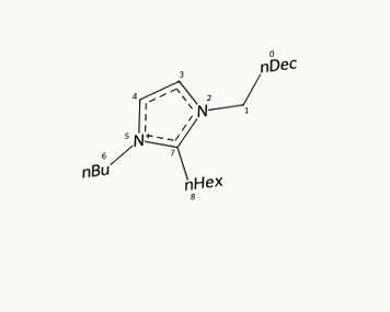 CCCCCCCCCCCn1cc[n+](CCCC)c1CCCCCC